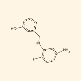 Nc1ccc(F)c(NCc2cccc(O)c2)c1